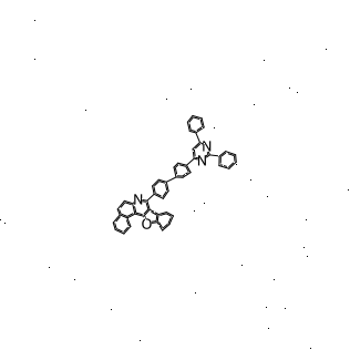 c1ccc(-c2cc(-c3ccc(-c4ccc(-c5nc6ccc7ccccc7c6c6oc7ccccc7c56)cc4)cc3)nc(-c3ccccc3)n2)cc1